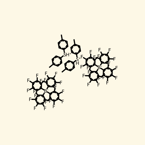 Cc1ccc([SH+]c2ccc(C)cc2)cc1.Cc1ccc([SH+]c2ccc(C)cc2)cc1.Fc1c(F)c(F)c([B-](c2c(F)c(F)c(F)c(F)c2F)(c2c(F)c(F)c(F)c(F)c2F)c2c(F)c(F)c(F)c(F)c2F)c(F)c1F.Fc1c(F)c(F)c([B-](c2c(F)c(F)c(F)c(F)c2F)(c2c(F)c(F)c(F)c(F)c2F)c2c(F)c(F)c(F)c(F)c2F)c(F)c1F